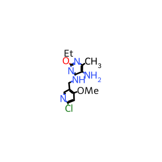 CCOc1nc(C)c(N)c(NCc2cnc(Cl)cc2OC)n1